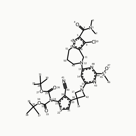 CN(C)C(=O)c1nn2c(c1Cl)CN(c1cc(N3CC(C)(c4csc(N(C(=O)OC(C)(C)C)C(=O)OC(C)(C)C)c4C#N)C3)nc([S+](C)[O-])n1)CCC2